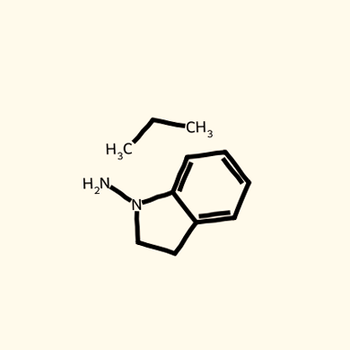 CCC.NN1CCc2ccccc21